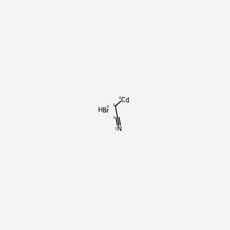 Br.N#C[CH2][Cd]